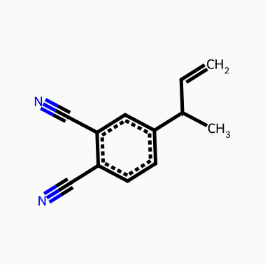 C=C[C](C)c1ccc(C#N)c(C#N)c1